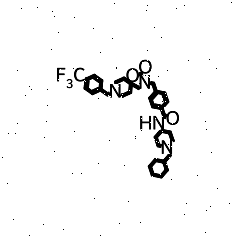 O=C(NC1CCN(CC2CCCCC2)CC1)c1ccc(CN2CC3(CCN(Cc4ccc(C(F)(F)F)cc4)CC3)OC2=O)cc1